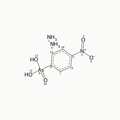 N.N.O=[N+]([O-])c1ccc([As](=O)(O)O)cc1